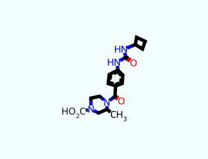 CC1CN(C(=O)O)CCN1C(=O)c1ccc(NC(=O)NC2CCC2)cc1